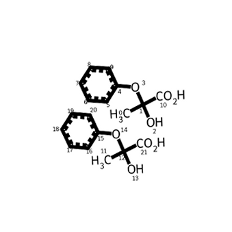 CC(O)(Oc1ccccc1)C(=O)O.CC(O)(Oc1ccccc1)C(=O)O